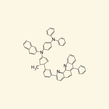 C[C@@H]1C=C(N(c2ccc(N(c3ccccc3)c3ccccc3)cc2)c2ccc3ccccc3c2)C=CC1c1cccc(-c2ccc3ccc4c(-c5ccccc5)c5ccccc5nc4c3n2)c1